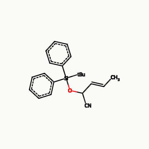 C/C=C/C(C#N)O[Si](c1ccccc1)(c1ccccc1)C(C)(C)C